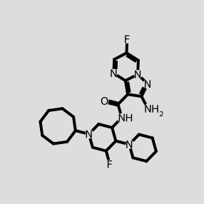 Nc1nn2cc(F)cnc2c1C(=O)NC1CN(C2CCCCCCC2)CC(F)C1N1CCCCC1